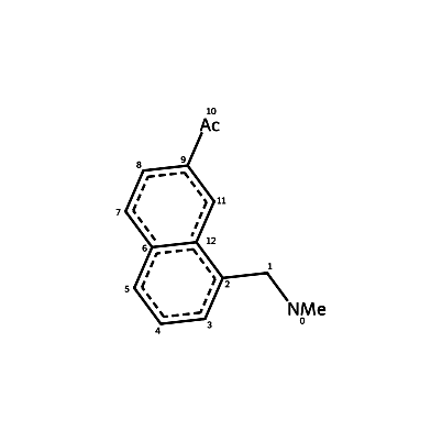 CNCc1cccc2ccc(C(C)=O)cc12